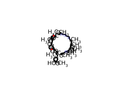 CO[C@H]1C[C@@H]2CC[C@@H](C)[C@@H](O2)C(=O)C(=O)N2CCCC[C@H]2C(=O)O[C@H]([C@H](C)C[C@@H]2CC[C@@H](O)[C@H](OC)C2)CC(=O)[C@H](C)/C=C(\C)[C@@H](O)[C@@H](OC)C(=O)[C@H](C)C[C@H](C)/C=C/C=C/C=C/1C